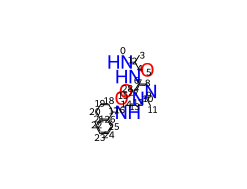 CNC(C)C(=O)Nc1cnc(C)n(CC(=O)NC2CCCc3ccccc32)c1=O